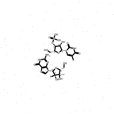 C[C@@]1(O)[C@@H](CO)O[C@@H](n2cnc3c(=O)[nH]c(N)nc32)[C@@]1(O)F.Cc1cn([C@@H]2O[C@H](CO)[C@@H](OP(=O)(O)O)[C@H]2O)c(=O)[nH]c1=O